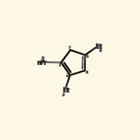 CCCC1=C(CC)C=C(CC)C1